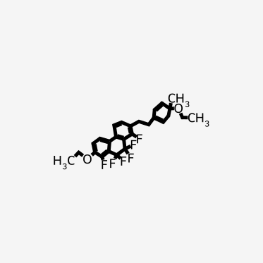 CCOc1ccc2c(c1F)C(F)(F)C(F)(F)c1c-2ccc(CCC2=CCC(C)(OCC)C=C2)c1F